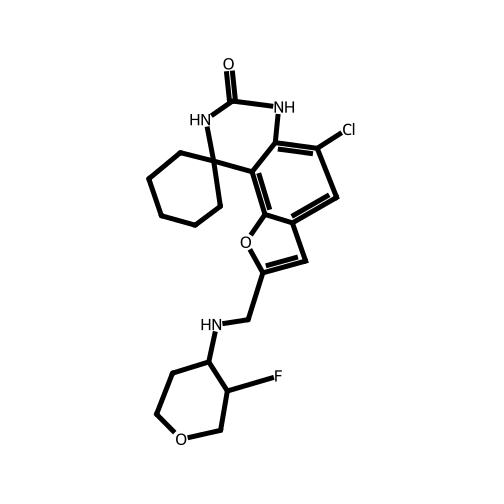 O=C1Nc2c(Cl)cc3cc(CNC4CCOCC4F)oc3c2C2(CCCCC2)N1